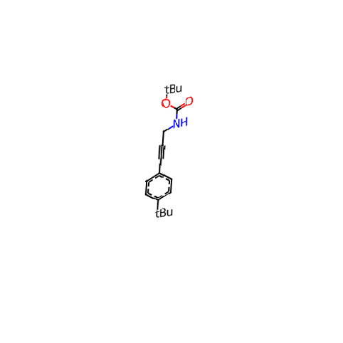 CC(C)(C)OC(=O)NCC#Cc1ccc(C(C)(C)C)cc1